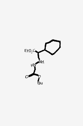 CCOC(=O)C(NNC(=O)OC(C)(C)C)C1CCCCC1